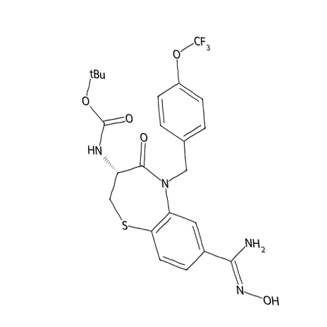 CC(C)(C)OC(=O)N[C@H]1CSc2ccc(/C(N)=N/O)cc2N(Cc2ccc(OC(F)(F)F)cc2)C1=O